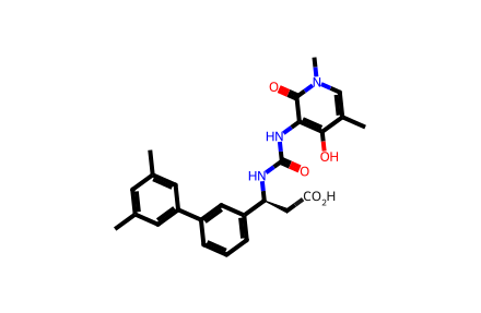 Cc1cc(C)cc(-c2cccc([C@H](CC(=O)O)NC(=O)Nc3c(O)c(C)cn(C)c3=O)c2)c1